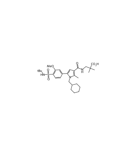 COc1cc(-c2cc(C(=O)NCC(C)(C)C(=O)O)c(C)n2CC2CCCCC2)ccc1S(=O)(=O)NC(C)(C)C